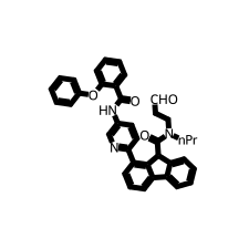 CCCN(CCC=O)C(=O)C1c2ccccc2-c2cccc(-c3ccc(NC(=O)c4ccccc4Oc4ccccc4)cn3)c21